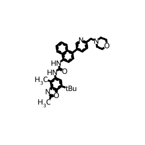 Cc1nc2c(C)c(NC(=O)Nc3ccc(-c4ccc(CN5CCOCC5)nc4)c4ccccc34)cc(C(C)(C)C)c2o1